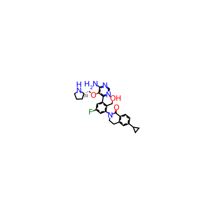 Nc1ncnc(-c2cc(F)cc(N3CCc4cc(C5CC5)ccc4C3=O)c2CO)c1OC[C@@H]1CCCN1